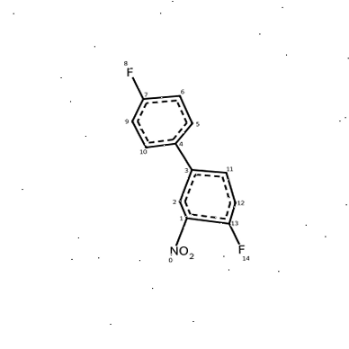 O=[N+]([O-])c1cc(-c2ccc(F)cc2)ccc1F